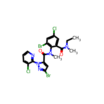 CCN(C)C(=O)c1cc(Cl)cc(Br)c1N(C)C(=O)c1cc(Br)nn1-c1ncccc1Cl